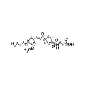 C=CCOc1ccc(/C=C/C(=O)c2ccc(S(=O)(=O)NCCC(=O)O)cc2)cc1OC